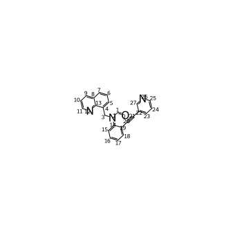 O=CN(Cc1cccc2cccnc12)c1ccccc1C#Cc1cccnc1